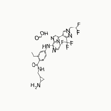 CCc1cc(Nc2nccn3c(-c4cn(CC(F)F)nc4C(F)(F)F)cnc23)ccc1C(=O)NCC1CC1N.O=CO